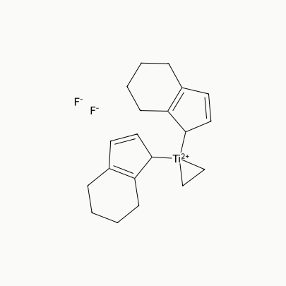 C1=C[CH]([Ti+2]2([CH]3C=CC4=C3CCCC4)[CH2][CH2]2)C2=C1CCCC2.[F-].[F-]